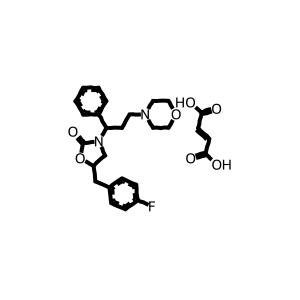 O=C(O)C=CC(=O)O.O=C1OC(Cc2ccc(F)cc2)CN1C(CCN1CCOCC1)c1ccccc1